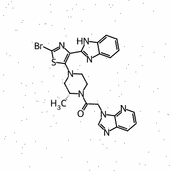 C[C@@H]1CN(c2sc(Br)nc2-c2nc3ccccc3[nH]2)CCN1C(=O)Cn1cnc2cccnc21